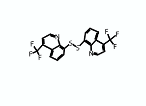 FC(F)(F)c1ccnc2c(SSc3cccc4c(C(F)(F)F)ccnc34)cccc12